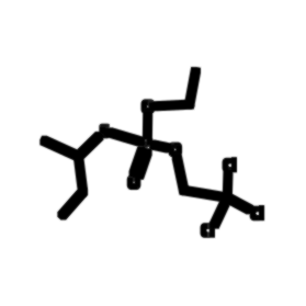 CCOP(=O)(OCC(Cl)(Cl)Cl)SC(C)CC